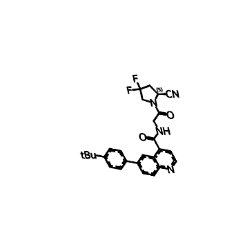 CC(C)(C)c1ccc(-c2ccc3nccc(C(=O)NCC(=O)N4CC(F)(F)C[C@H]4C#N)c3c2)cc1